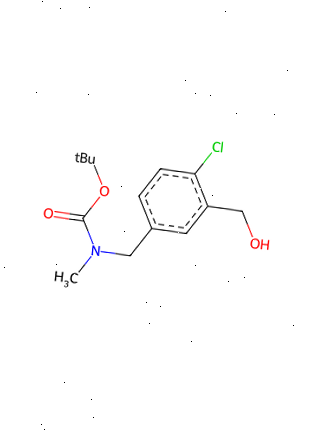 CN(Cc1ccc(Cl)c(CO)c1)C(=O)OC(C)(C)C